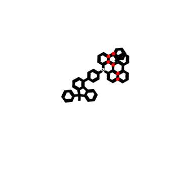 CC1(c2ccccc2)c2ccccc2-c2c(-c3ccc(N(c4ccccc4-c4cccc5cccc(-c6ccccc6)c45)c4cccc5c4oc4ccccc45)cc3)cccc21